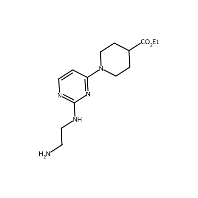 CCOC(=O)C1CCN(c2ccnc(NCCN)n2)CC1